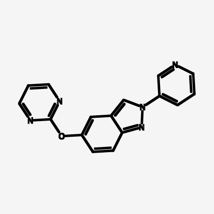 c1cnc(Oc2ccc3nn(-c4cccnc4)cc3c2)nc1